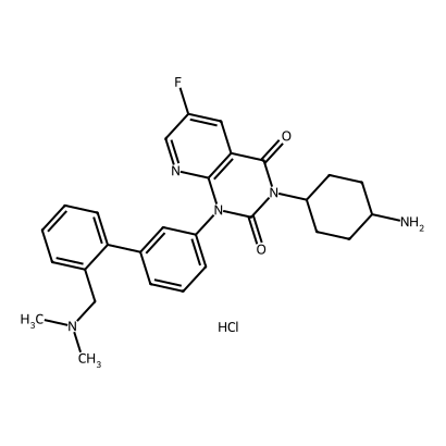 CN(C)Cc1ccccc1-c1cccc(-n2c(=O)n(C3CCC(N)CC3)c(=O)c3cc(F)cnc32)c1.Cl